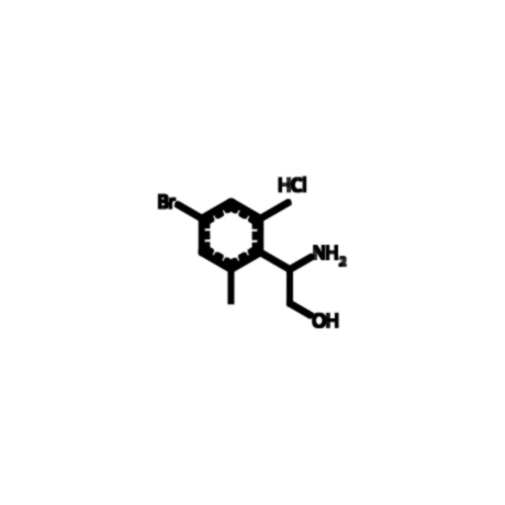 Cc1cc(Br)cc(C)c1C(N)CO.Cl